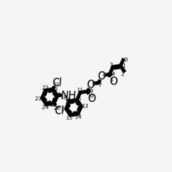 CC(C)=CC(=O)OCOC(=O)Cc1ccccc1Nc1c(Cl)cccc1Cl